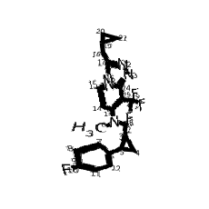 CN(CC1CC1c1ccc(F)cc1)c1ccn2c(CC3CC3)nnc2c1C(F)(F)F